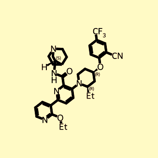 CCOc1ncccc1-c1ccc(N2CC[C@@H](Oc3ccc(C(F)(F)F)cc3C#N)C[C@H]2CC)c(C(=O)N[C@@H]2CN3CCC2CC3)n1